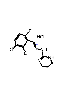 Cl.Clc1ccc(Cl)c(/C=N/NC2=NCCCN2)c1Cl